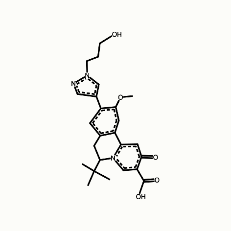 COc1cc2c(cc1-c1cnn(CCCO)c1)CC(C(C)(C)C)n1cc(C(=O)O)c(=O)cc1-2